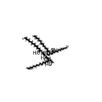 CCCCCCCCCCCCC(O)CNCCN(CCN(CC(C)O)CC(O)CCCCCCCCCCCC)CCN(CC(O)CCCCCCCCCC)CC(O)CCCCCCCCCCCC